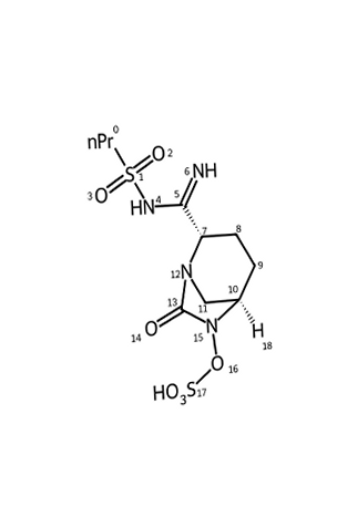 CCCS(=O)(=O)NC(=N)[C@@H]1CC[C@@H]2CN1C(=O)N2OS(=O)(=O)O